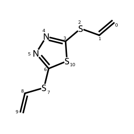 C=CSc1nnc(SC=C)s1